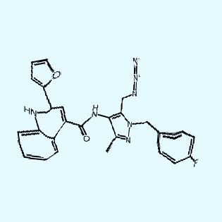 Cc1nn(Cc2ccc(F)cc2)c(CN=[N+]=[N-])c1NC(=O)C1=CC(c2ccco2)Nc2ccccc21